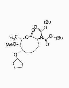 CO[C@H]1[C@H](C)OC(=O)[C@@H](N(C(=O)OC(C)(C)C)C(=O)OC(C)(C)C)CCCC[C@@H]1OC1CCCC1